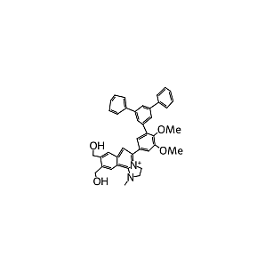 COc1cc(-c2cc3cc(CO)c(CO)cc3c3[n+]2CCN3C)cc(-c2cc(-c3ccccc3)cc(-c3ccccc3)c2)c1OC